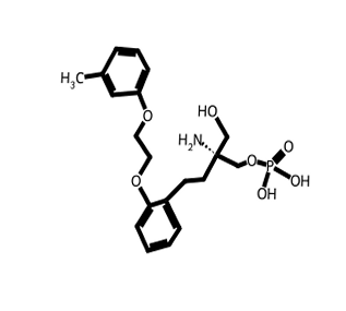 Cc1cccc(OCCOc2ccccc2CC[C@@](N)(CO)COP(=O)(O)O)c1